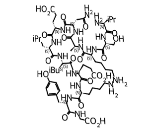 CC[C@H](C)[C@H](NC(=O)[C@H](CC(C)C)NC(=O)[C@H](CCC(=O)O)NC(=O)[C@H](CC(N)=O)NC(=O)[C@H](C)NC(=O)[C@H](CCCCN)NC(=O)[C@H](CO)NC(=O)[C@@H](N)C(C)C)C(=O)N[C@@H](CCC(=O)O)C(=O)N[C@@H](CCCCN)C(=O)N[C@@H](Cc1ccc(O)cc1)C(=O)NCC(=O)O